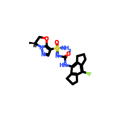 C[C@H]1COc2c(S(N)(=O)=NC(=O)Nc3c4c(c(F)c5c3CCC5)CCC4)cnn21